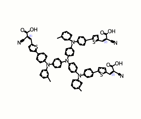 Cc1cccc(N(c2ccc(-c3ccc(/C=C(/C#N)C(=O)O)s3)cc2)c2ccc(N(c3ccc(N(c4ccc(-c5ccc(/C=C(/C#N)C(=O)O)s5)cc4)c4cccc(C)c4)cc3)c3ccc(N(c4ccc(-c5ccc(/C=C(\C#N)C(=O)O)s5)cc4)c4cccc(C)c4)cc3)cc2)c1